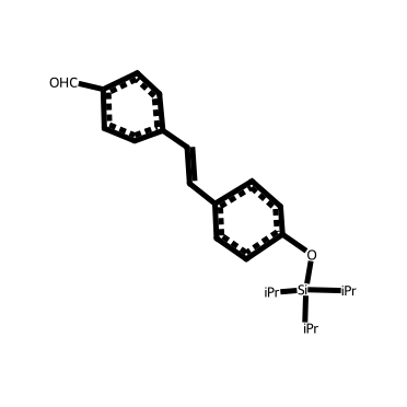 CC(C)[Si](Oc1ccc(/C=C/c2ccc(C=O)cc2)cc1)(C(C)C)C(C)C